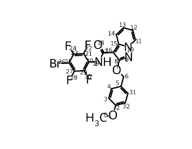 COc1ccc(COc2nn3ccccc3c2C(=O)Nc2c(F)c(F)c(Br)c(F)c2F)cc1